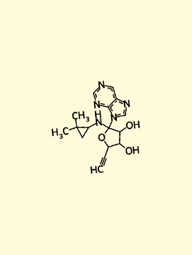 C#CC1OC(NC2CC2(C)C)(n2cnc3cncnc32)C(O)C1O